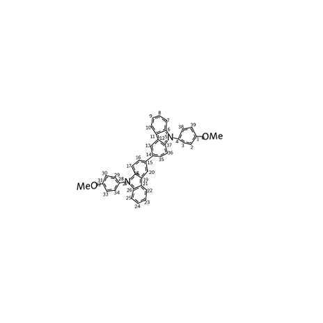 COc1ccc(-n2c3ccccc3c3cc(-c4ccc5c(c4)c4ccccc4n5-c4ccc(OC)cc4)ccc32)cc1